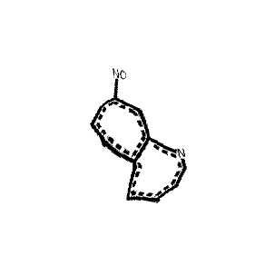 O=Nc1ccc2cccnc2c1